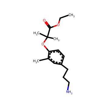 CCOC(=O)C(C)(C)Oc1ccc(CCCN)cc1C